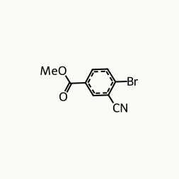 COC(=O)c1ccc(Br)c(C#N)c1